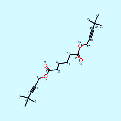 CC(C)(C)C#CCOC(=O)CCCCC(=O)OCC#CC(C)(C)C